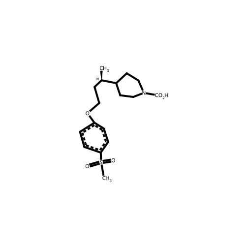 C[C@H](CCOc1ccc(S(C)(=O)=O)cc1)C1CCN(C(=O)O)CC1